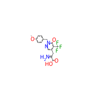 COc1ccc(Cn2ncc(C[C@H](N)C(=O)O)c(C(F)(F)F)c2=O)cc1